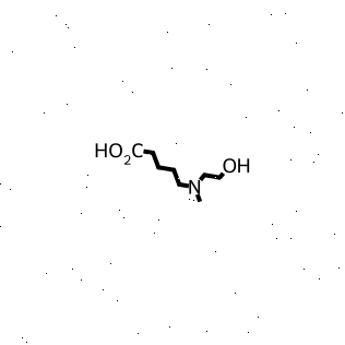 CN(CCO)CCCCC(=O)O